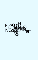 Cn1c(-c2ccnn2-c2ccc(C#N)cc2)c(C(=O)N[C@H]2C[C@H](C(=O)NCC[N+](C)(C)C)C2)c(=O)n1-c1cccc(C(F)(F)F)c1.c1ccccc1